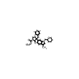 Cc1cn(CC2CCCCO2)c2cc(C3(Cc4ccncc4)CCN(C(=O)OC(C)(C)C)C3=O)ccc12